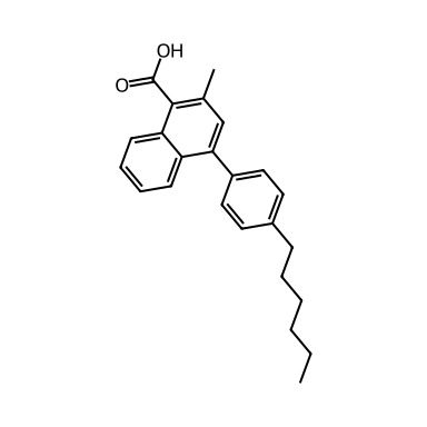 CCCCCCc1ccc(-c2cc(C)c(C(=O)O)c3ccccc23)cc1